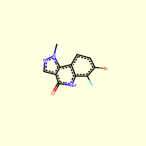 Cn1ncc2c(=O)[nH]c3c(F)c(Br)ccc3c21